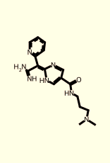 CN(C)CCCNC(=O)C1=CN/C(=C(\C(=N)N)c2ccccn2)N=C1